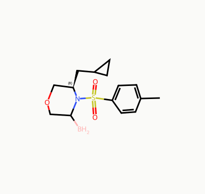 BC1COC[C@@H](CC2CC2)N1S(=O)(=O)c1ccc(C)cc1